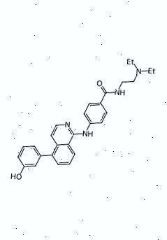 CCN(CC)CCNC(=O)c1ccc(Nc2nccc3c(-c4cccc(O)c4)cccc23)cc1